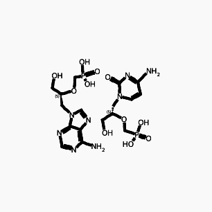 Nc1ccn(C[C@@H](CO)OCP(=O)(O)O)c(=O)n1.Nc1ncnc2c1ncn2C[C@@H](CO)OCP(=O)(O)O